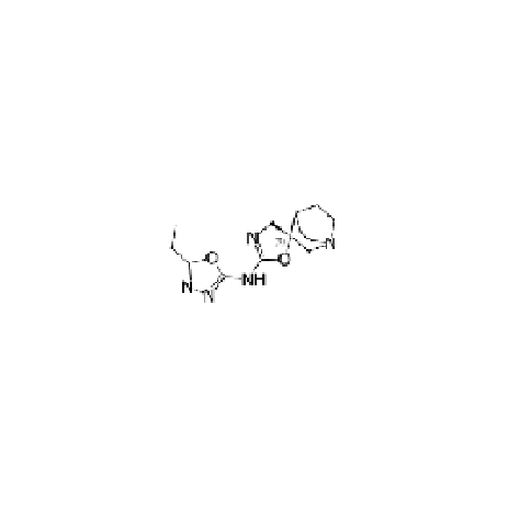 CCc1nnc(NC2=NC[C@@]3(CN4CCC3CC4)O2)o1